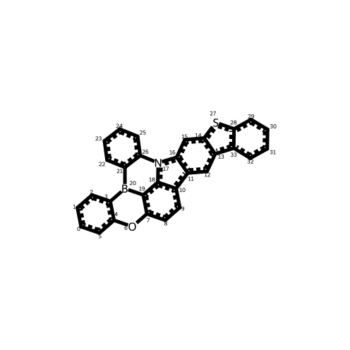 c1ccc2c(c1)Oc1ccc3c4cc5c(cc4n4c3c1B2c1ccccc1-4)sc1ccccc15